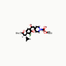 COC(=O)[C@@H](C)[C@H](c1ccc2c(c1F)OC1(CCN(C(=O)OC(C)(C)C)CC1)CC2=O)C1CC1